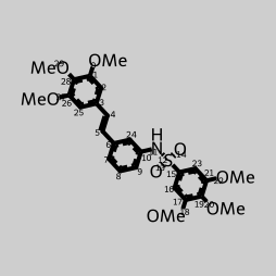 COc1cc(C=Cc2cccc(NS(=O)(=O)c3cc(OC)c(OC)c(OC)c3)c2)cc(OC)c1OC